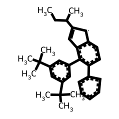 CCC(C)C1=Cc2c(ccc(-c3ccccc3)c2-c2cc(C(C)(C)C)cc(C(C)(C)C)c2)[CH]1